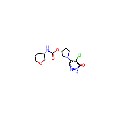 O=C(N[C@H]1CCCOC1)O[C@@H]1CCN(c2cn[nH]c(=O)c2Cl)C1